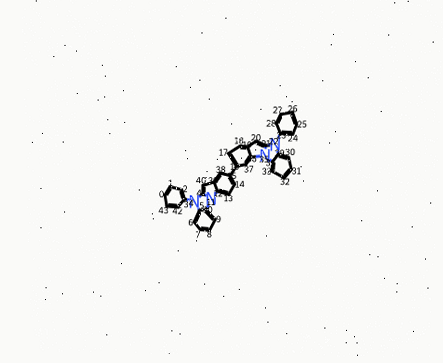 c1ccc(-n2c3ccccc3n3c4ccc(-c5ccc6cc7n(-c8ccccc8)c8ccccc8n7c6c5)cc4cc23)cc1